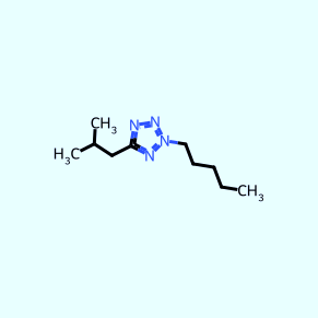 CCCCCn1nnc(CC(C)C)n1